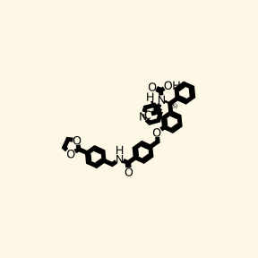 O=C(NCc1ccc(C2OCCO2)cc1)c1ccc(COc2cccc([C@H](c3ccccc3)N(C(=O)O)[C@H]3CN4CCC3CC4)c2)cc1